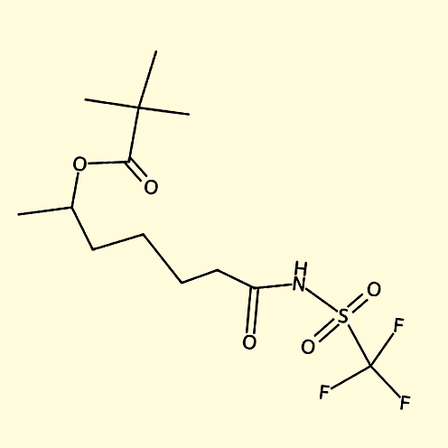 CC(CCCCC(=O)NS(=O)(=O)C(F)(F)F)OC(=O)C(C)(C)C